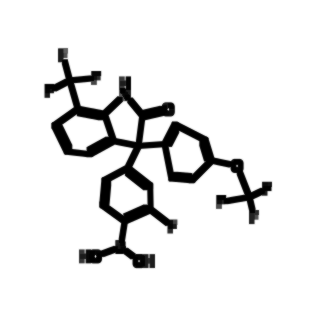 O=C1Nc2c(C(F)(F)F)cccc2C1(c1ccc(OC(F)(F)F)cc1)c1ccc(B(O)O)c(F)c1